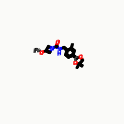 Cc1cc(B2OCC(C)(C)O2)ccc1CNC(=O)N1CC(OC(C)C)C1